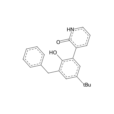 CC(C)(C)c1cc(Cc2ccccc2)c(O)c(-c2ccc[nH]c2=O)c1